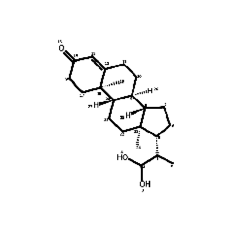 CC(C(O)O)[C@H]1CC[C@H]2[C@@H]3CCC4=CC(=O)CC[C@]4(C)[C@H]3CC[C@]12C